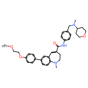 CCCOCCOc1ccc(-c2ccc3c(c2)C=C(C(=O)Nc2ccc(CN(C)C4CCOCC4)cc2)CCN3C)cc1